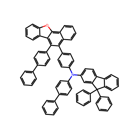 c1ccc(-c2ccc(-c3c(-c4ccc(N(c5ccc(-c6ccccc6)cc5)c5ccc6c(c5)C(c5ccccc5)(c5ccccc5)c5ccccc5-6)cc4)c4ccccc4c4oc5ccccc5c34)cc2)cc1